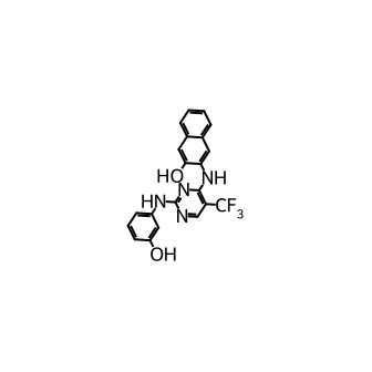 Oc1cccc(Nc2ncc(C(F)(F)F)c(Nc3cc4ccccc4cc3O)n2)c1